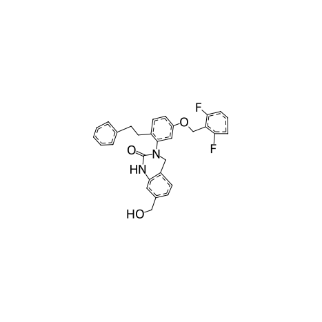 O=C1Nc2cc(CO)ccc2CN1c1cc(OCc2c(F)cccc2F)ccc1CCc1ccccc1